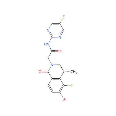 C[C@H]1CN(CC(=O)Nc2ncc(F)cn2)C(=O)c2ccc(Br)c(F)c21